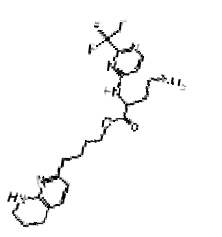 NCCC(Nc1ccnc(C(F)(F)F)n1)C(=O)OCCCCc1ccc2c(n1)NCCC2